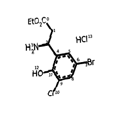 CCOC(=O)CC(N)c1cc(Br)cc(Cl)c1O.Cl